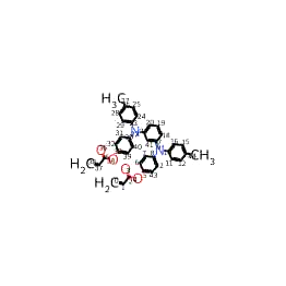 C=CC(=O)Oc1ccc(N(c2ccc(C)cc2)c2cccc(N(c3ccc(C)cc3)c3ccc(OC(=O)C=C)cc3)c2)cc1